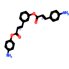 Nc1ccc(/C=C/C(=O)Oc2cccc(/C=C/C(=O)Oc3ccc(N)cc3)c2)cc1